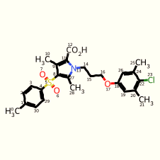 Cc1ccc(S(=O)(=O)c2c(C)c(C(=O)O)n(CCCOc3cc(C)c(Cl)c(C)c3)c2C)cc1